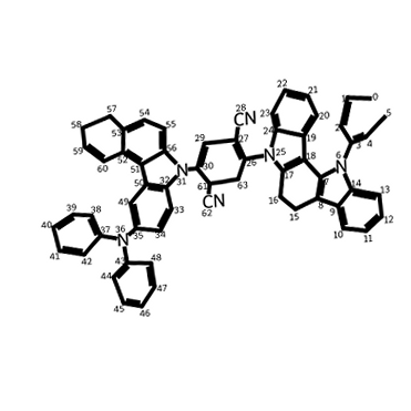 C/C=C\C(=C/C)n1c2c(c3ccccc31)CCc1c-2c2ccccc2n1C1=C(C#N)C=C(n2c3ccc(N(c4ccccc4)c4ccccc4)cc3c3c4c(ccc32)CCC=C4)C(C#N)C1